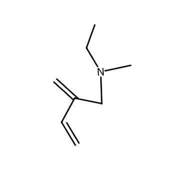 C=CC(=C)CN(C)CC